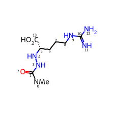 CNC(=O)NN[C@@H](CCCNC(=N)N)C(=O)O